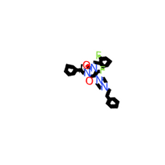 Cc1c(N2CCN(CCc3ccccc3)CC2)c(=O)n(C[C@H](C)c2ccccc2)c(=O)n1Cc1c(F)cccc1F